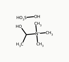 CC(O)[N+](C)(C)C.O=S(=O)(O)O